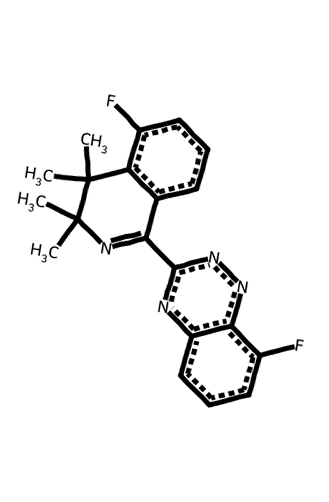 CC1(C)N=C(c2nnc3c(F)cccc3n2)c2cccc(F)c2C1(C)C